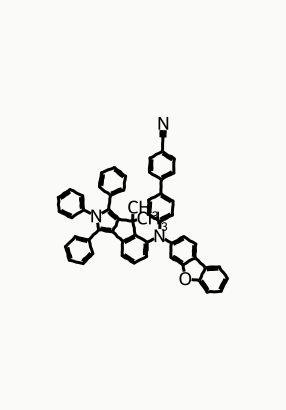 CC1(C)c2c(cccc2N(c2ccc(-c3ccc(C#N)cc3)cc2)c2ccc3c(c2)oc2ccccc23)-c2c1c(-c1ccccc1)n(-c1ccccc1)c2-c1ccccc1